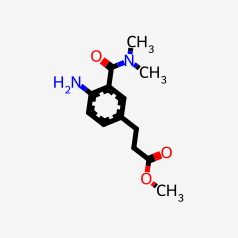 COC(=O)CCc1ccc(N)c(C(=O)N(C)C)c1